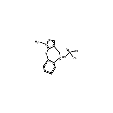 Cn1ncc2c1Nc1ccccc1NC2.O=P(O)(O)O